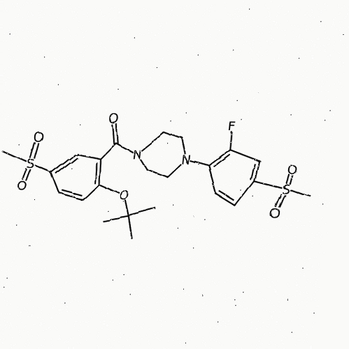 CC(C)(C)Oc1ccc(S(C)(=O)=O)cc1C(=O)N1CCN(c2ccc(S(C)(=O)=O)cc2F)CC1